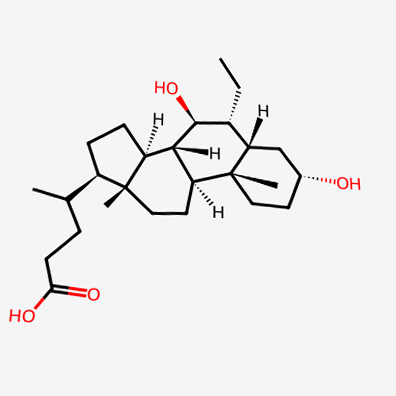 CC[C@H]1[C@H](O)[C@@H]2[C@H](CC[C@]3(C)[C@@H](C(C)CCC(=O)O)CC[C@@H]23)[C@@]2(C)CC[C@@H](O)C[C@@H]12